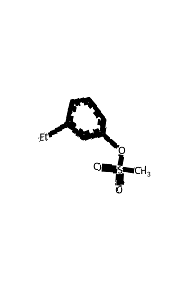 C[CH]c1cccc(OS(C)(=O)=O)c1